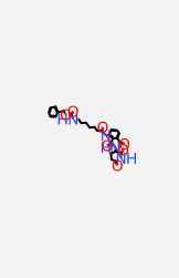 O=C1CCC(N2C(=O)c3cccc(NC(=O)CCCCCCNC(=O)OCc4ccccc4)c3C2=O)C(=O)N1